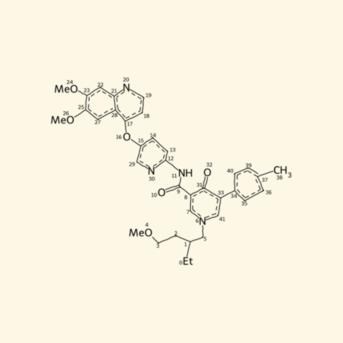 CCC(CCOC)Cn1cc(C(=O)Nc2ccc(Oc3ccnc4cc(OC)c(OC)cc34)cn2)c(=O)c(-c2ccc(C)cc2)c1